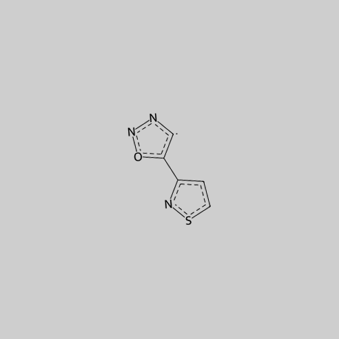 [c]1nnoc1-c1ccsn1